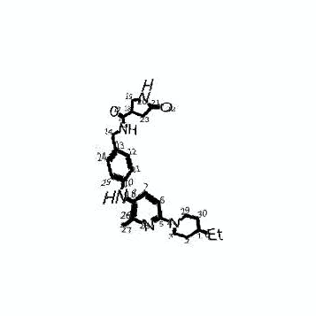 CCC1CCN(c2ccc(Nc3ccc(CNC(=O)C4CNC(=O)C4)cc3)c(C)n2)CC1